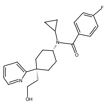 O=C(c1ccc(F)cc1)N(C1CC1)[C@H]1CC[C@](CCO)(c2ccccn2)CC1